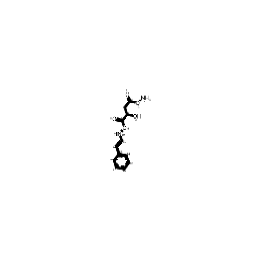 NOC(=O)CC(O)C(=O)ONC=Cc1ccccc1